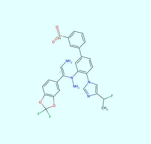 CC(F)c1cn(-c2ccc(-c3cccc([SH](=O)=O)c3)cc2N(N)/C(=C\N)c2ccc3c(c2)OC(F)(F)O3)cn1